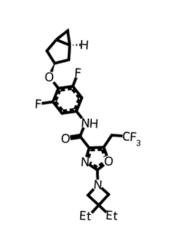 CCC1(CC)CN(c2nc(C(=O)Nc3cc(F)c(O[C@H]4CC5C[C@H]5C4)c(F)c3)c(CC(F)(F)F)o2)C1